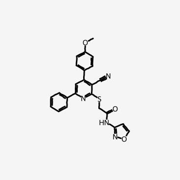 COc1ccc(-c2cc(-c3ccccc3)nc(SCC(=O)Nc3ccon3)c2C#N)cc1